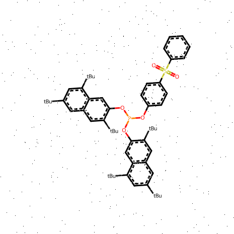 CC(C)(C)c1cc(C(C)(C)C)c2cc(OP(Oc3ccc(S(=O)(=O)c4ccccc4)cc3)Oc3cc4c(C(C)(C)C)cc(C(C)(C)C)cc4cc3C(C)(C)C)c(C(C)(C)C)cc2c1